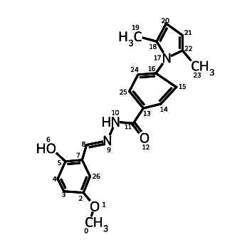 COc1ccc(O)c(C=NNC(=O)c2ccc(-n3c(C)ccc3C)cc2)c1